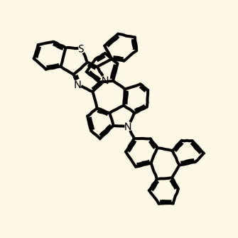 c1ccc(-c2nc(-c3cccc4c3c3c(-c5ccccc5)cccc3n4-c3ccc4c5ccccc5c5ccccc5c4c3)nc3c2sc2ccccc23)cc1